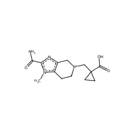 Cn1c(C(N)=O)nc2c1CCN(CC1(C(=O)O)CC1)C2